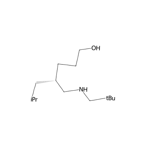 CC(C)C[C@H](CCCO)CNCC(C)(C)C